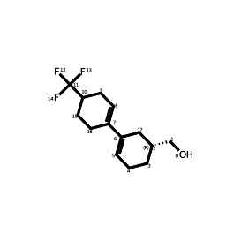 OC[C@@H]1CCC=C(C2=CCC(C(F)(F)F)CC2)C1